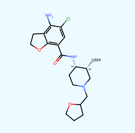 CO[C@@H]1CN(CC2CCCO2)CC[C@@H]1NC(=O)c1cc(Cl)c(N)c2c1OCC2